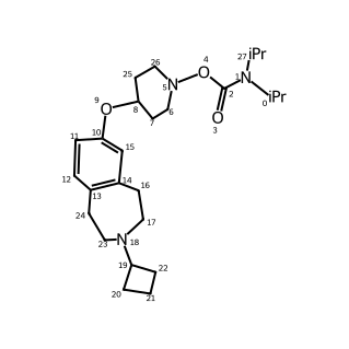 CC(C)N(C(=O)ON1CCC(Oc2ccc3c(c2)CCN(C2CCC2)CC3)CC1)C(C)C